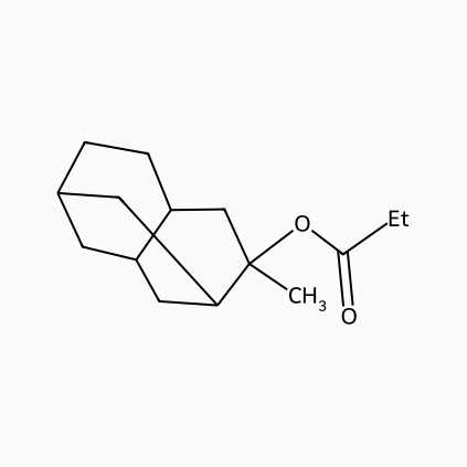 CCC(=O)OC1(C)CC2CCC3CC2CC1C3